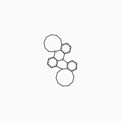 c1cc2c3c(c1)B1c4cccc5c4N(CCCCCCC5)c4cccc(c41)N3CCCCCCC2